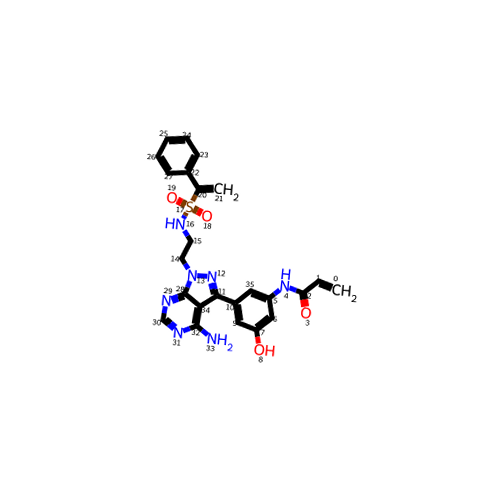 C=CC(=O)Nc1cc(O)cc(-c2nn(CCNS(=O)(=O)C(=C)c3ccccc3)c3ncnc(N)c23)c1